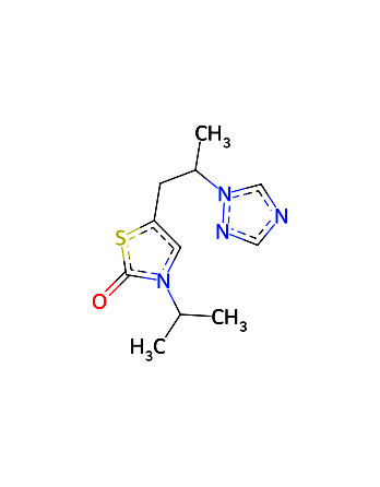 CC(Cc1cn(C(C)C)c(=O)s1)n1cncn1